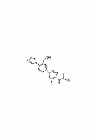 Cc1cn(-c2ccc(-c3cc(C)c(N[C@@H](C)C(C)C)nn3)nc2CO)cn1